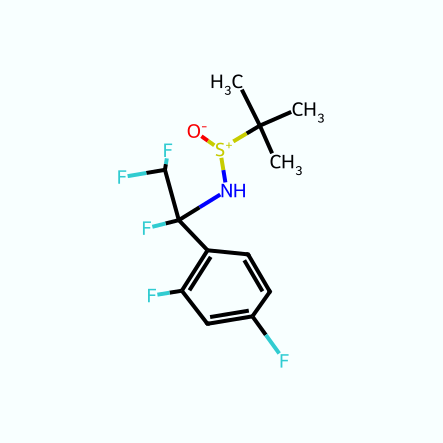 CC(C)(C)[S+]([O-])NC(F)(c1ccc(F)cc1F)C(F)F